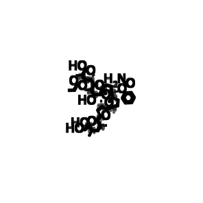 CCC(=O)O[C@H]([C@H](C)[C@H]1O[C@@]2(CC[C@@](C)([C@H]3CC[C@@](C)(C4O[C@@H]([C@H]5O[C@@](O)(CO)[C@H](C)C[C@@H]5C)C[C@@H]4C)O3)O2)C[C@H](O)[C@H]1C)[C@@H](C)C(=O)O.NC(=O)Oc1ccccc1